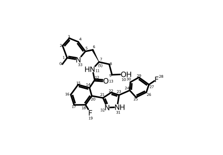 Cc1cccc(C[C@@H](CCO)NC(=O)c2cccc(F)c2-c2cc(-c3ccc(F)cc3)[nH]n2)n1